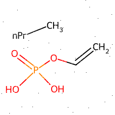 C=COP(=O)(O)O.CCCC